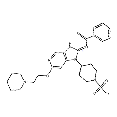 CCS(=O)(=O)N1CCC(n2/c(=N/C(=O)c3ccccc3)[nH]c3cnc(OCCN4CCCCC4)cc32)CC1